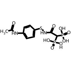 CC(=O)Nc1ccc(SNC(=O)C(P(=O)(O)O)P(=O)(O)O)cc1